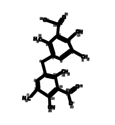 Cc1cc(Cc2cc(C)c(O)c([N+](=O)[O-])c2C)c(C)c([N+](=O)[O-])c1O